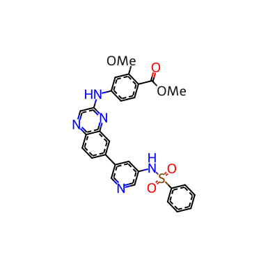 COC(=O)c1ccc(Nc2cnc3ccc(-c4cncc(NS(=O)(=O)c5ccccc5)c4)cc3n2)cc1OC